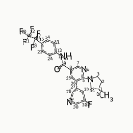 C[C@@H]1CCN(c2ncc(C(=O)Nc3ccc(C(F)(F)C(F)(F)F)cc3)cc2-c2cncc(F)c2)C1